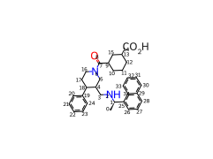 C[C@@H](NCC1CN(C(=O)C2CCCC(C(=O)O)C2)CCC1c1ccccc1)c1cccc2ccccc12